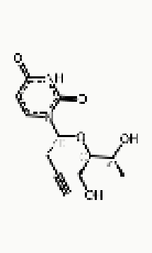 C#CC[C@@H](O[C@H](CO)[C@H](C)O)n1ccc(=O)[nH]c1=O